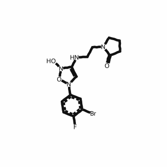 O=C1CCCN1CCNC1=CN(c2ccc(F)c(Br)c2)ON1O